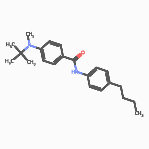 CCCCc1ccc(NC(=O)c2ccc(N(C)C(C)(C)C)cc2)cc1